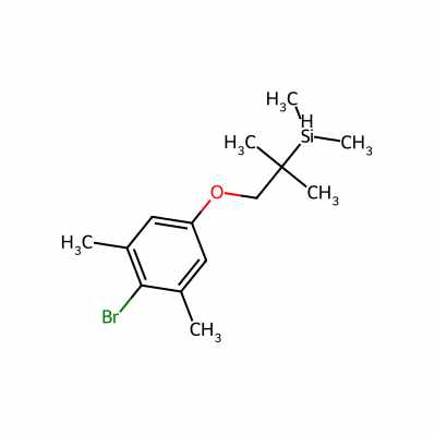 Cc1cc(OCC(C)(C)[SiH](C)C)cc(C)c1Br